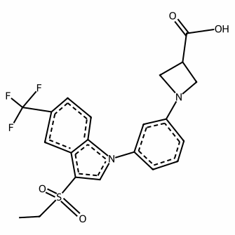 CCS(=O)(=O)c1cn(-c2cccc(N3CC(C(=O)O)C3)c2)c2ccc(C(F)(F)F)cc12